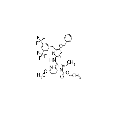 CCOC(=O)N1c2ccc(OC)nc2[C@@H](Nc2ncc(OCc3ccccc3)c(Cc3cc(C(F)(F)F)cc(C(F)(F)F)c3)n2)C[C@H]1CC